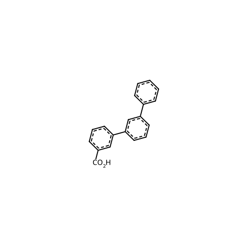 O=C(O)c1cccc(-c2cccc(-c3ccccc3)c2)c1